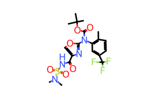 Cc1ccc(C(F)(F)F)cc1N(C(=O)OC(C)(C)C)c1nc(C(=O)NS(=O)(=O)N(C)C)co1